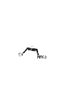 CC/C=C\NC